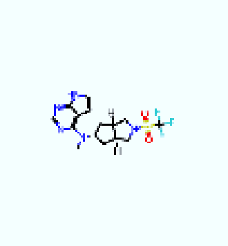 CN(c1ncnc2[nH]ccc12)[C@@H]1C[C@@H]2CN(S(=O)(=O)C(F)(F)F)C[C@@H]2C1